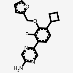 Nc1cnc(-c2ccc(C3CCC3)c(OCc3ccco3)c2F)cn1